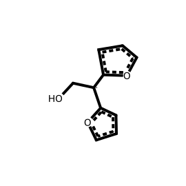 OC[C](c1ccco1)c1ccco1